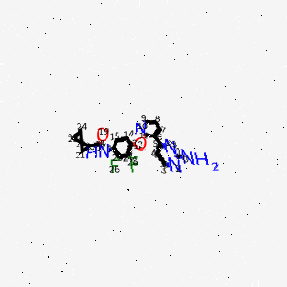 Nc1nccc(-c2cccnc2Oc2ccc(NC(=O)C3CC34CC4)c(F)c2F)n1